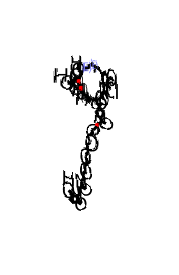 COc1cc2cc(c1Cl)N(C)C(=O)C[C@H](OC(=O)C1CCN(C(=O)CCOCCOCCOCCOCCNC(=O)CCN3C(=O)C=CC3=O)CC1)[C@@]1(C)C[C@H]1[C@H](C)[C@@H]1C[C@@](O)(NC(=O)O1)C(OC)/C=C/C=C(\C)C2